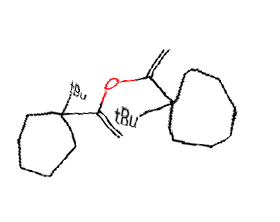 C=C(OC(=C)C1(C(C)(C)C)CCCCC1)C1(C(C)(C)C)CCCCC1